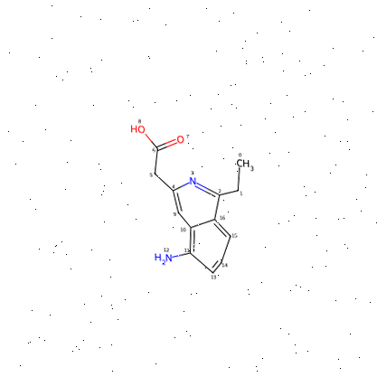 CCc1nc(CC(=O)O)cc2c(N)cccc12